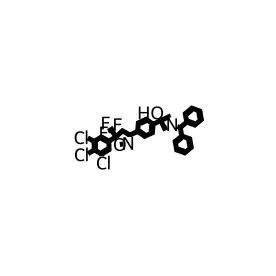 OC1(c2ccc(C3=NOC(c4cc(Cl)c(Cl)c(Cl)c4)(C(F)(F)F)C3)cc2)CN(C(c2ccccc2)c2ccccc2)C1